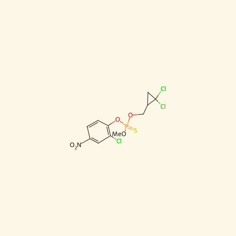 COP(=S)(OCC1CC1(Cl)Cl)Oc1ccc([N+](=O)[O-])cc1Cl